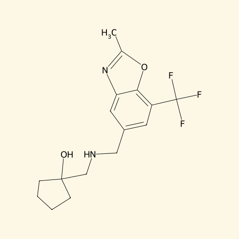 Cc1nc2cc(CNCC3(O)CCCC3)cc(C(F)(F)F)c2o1